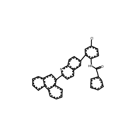 O=C(Nc1ccc(Cl)cc1-c1ccc2nc(-c3cc4ccccc4c4ccccc34)ccc2c1)c1ccccc1